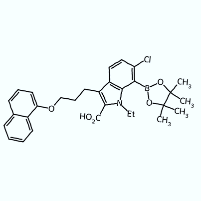 CCn1c(C(=O)O)c(CCCOc2cccc3ccccc23)c2ccc(Cl)c(B3OC(C)(C)C(C)(C)O3)c21